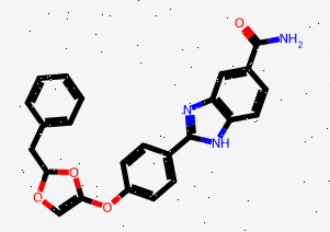 NC(=O)c1ccc2[nH]c(-c3ccc(OC4=COC(Cc5ccccc5)O4)cc3)nc2c1